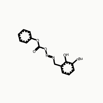 CCCCc1cccc(C/N=N/OC(=O)Oc2ccccc2)c1O